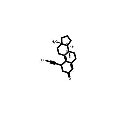 CC#CC1CC(=O)C=C2CC[C@@H]3C(=C21)CC[C@]1(C)CCC[C@@H]31